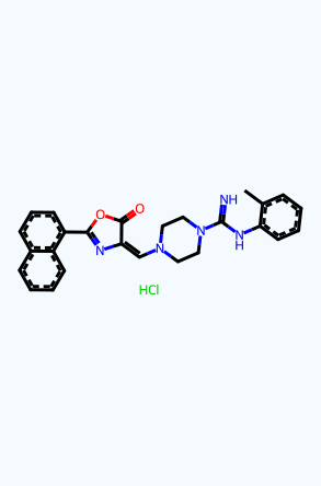 Cc1ccccc1NC(=N)N1CCN(/C=C2/N=C(c3cccc4ccccc34)OC2=O)CC1.Cl